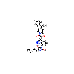 N#CC(=C1CCN(C(=O)C(=O)c2c[nH]c3c(N4C(=O)N[C@@H](CCC(=O)O)C4=O)cccc23)CC1)c1ccccc1